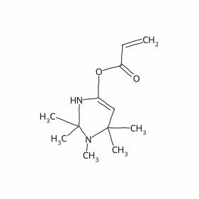 C=CC(=O)OC1=CC(C)(C)N(C)C(C)(C)N1